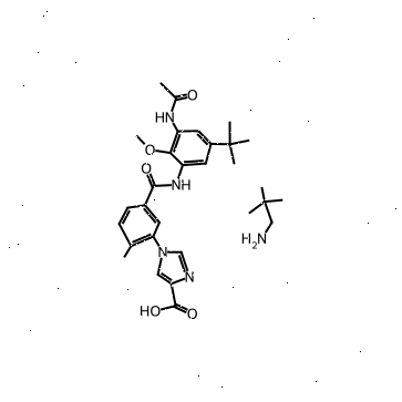 CC(C)(C)CN.COc1c(NC(C)=O)cc(C(C)(C)C)cc1NC(=O)c1ccc(C)c(-n2cnc(C(=O)O)c2)c1